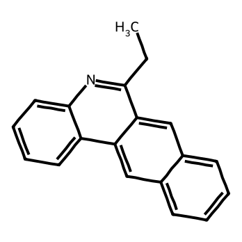 CCc1nc2ccccc2c2cc3ccccc3cc12